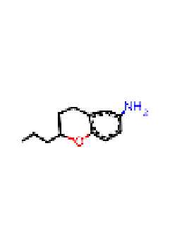 CCCC1CCc2cc(N)ccc2O1